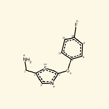 NCc1cnc(Oc2ccc(F)cc2)s1